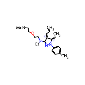 C=C/C=c1/c(N(CC)CCOCCNC)nn(-c2ccc(C)cc2)/c1=C/C